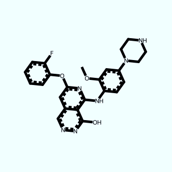 COc1cc(N2CCNCC2)ccc1Nc1nc(Oc2ccccc2F)cc2cnnc(O)c12